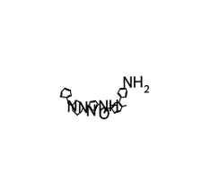 Cc1ccc(C(=O)Nc2ccc(N3CCCN(Cc4ccccc4)CC3)nc2)cc1-c1ccc(N)cc1